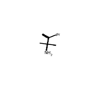 C=C(C(C)C)C(C)(C)N